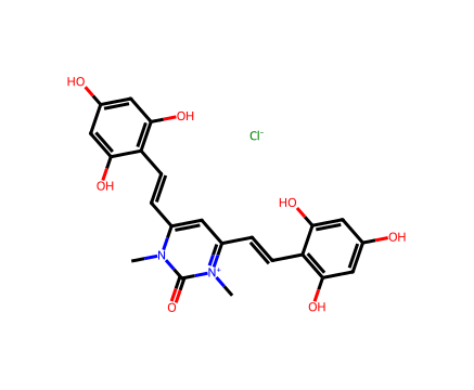 Cn1c(C=Cc2c(O)cc(O)cc2O)cc(C=Cc2c(O)cc(O)cc2O)[n+](C)c1=O.[Cl-]